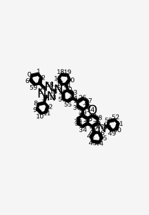 c1ccc(-c2nc(-c3ccccc3)nc(-n3c4ccccc4c4cc(-c5ccc6c(c5)-c5cccc7c5c(cc5c7c7ccccc7n5-c5ccccc5)O6)ccc43)n2)cc1